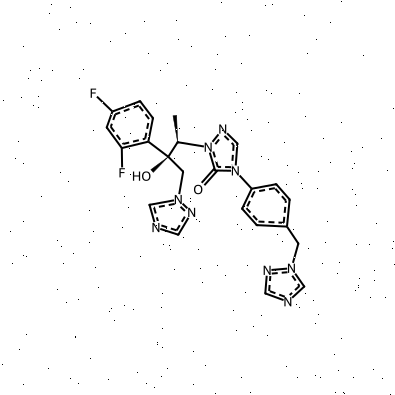 C[C@@H](n1ncn(-c2ccc(Cn3cncn3)cc2)c1=O)[C@](O)(Cn1cncn1)c1ccc(F)cc1F